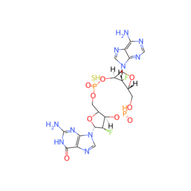 Nc1nc2c(ncn2[C@@H]2OC3CO[P@](=O)(S)O[C@@H]4[C@H](F)[C@@H](CO[PH](=O)O[C@H]3[C@H]2F)O[C@H]4n2cnc3c(N)ncnc32)c(=O)[nH]1